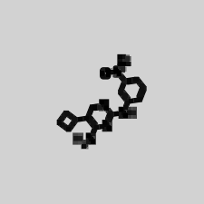 CC[S+]([O-])c1cccc(Nc2ncc(C3CCC3)c(N)n2)c1